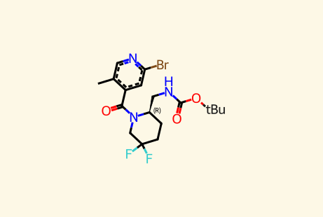 Cc1cnc(Br)cc1C(=O)N1CC(F)(F)CC[C@@H]1CNC(=O)OC(C)(C)C